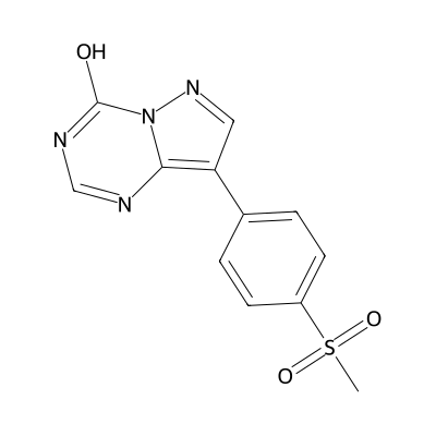 CS(=O)(=O)c1ccc(-c2cnn3c(O)ncnc23)cc1